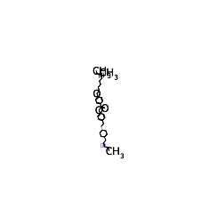 CC/C=C\C[C@H]1CC[C@H](CCc2ccc(OC(=O)c3ccc(OCCCCC[C@@H](C)CC)cc3)cc2)CC1